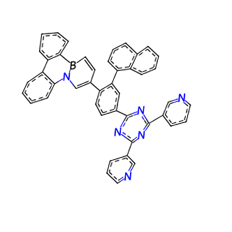 C1=CC(c2ccc(-c3nc(-c4cccnc4)nc(-c4cccnc4)n3)cc2-c2cccc3ccccc23)=CN2B1c1ccccc1-c1ccccc12